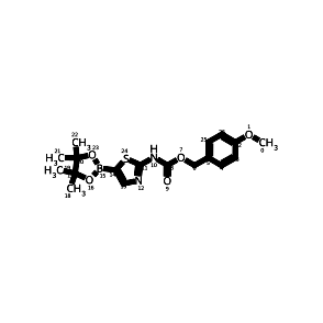 COc1ccc(COC(=O)Nc2ncc(B3OC(C)(C)C(C)(C)O3)s2)cc1